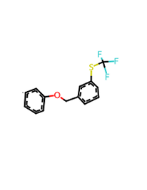 FC(F)(F)Sc1cccc(COc2c[c]ccc2)c1